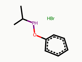 Br.CC(C)POc1ccccc1